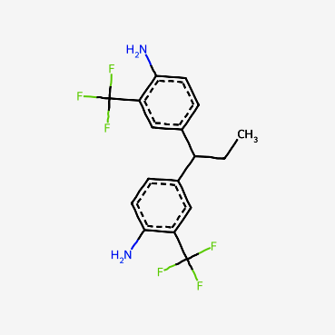 CCC(c1ccc(N)c(C(F)(F)F)c1)c1ccc(N)c(C(F)(F)F)c1